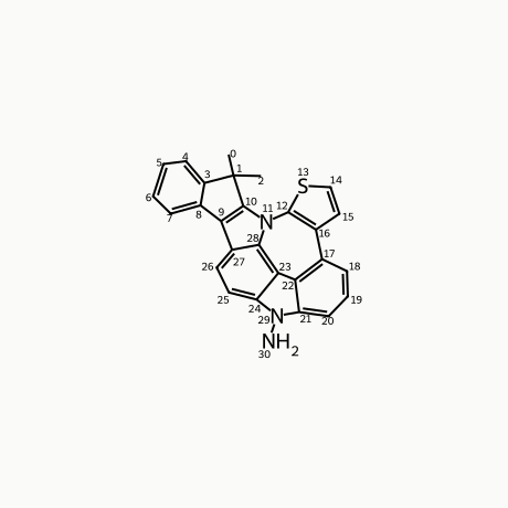 CC1(C)c2ccccc2-c2c1n1c3sccc3c3cccc4c3c3c(ccc2c31)n4N